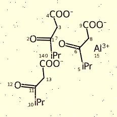 CC(C)C(=O)CC(=O)[O-].CC(C)C(=O)CC(=O)[O-].CC(C)C(=O)CC(=O)[O-].[Al+3]